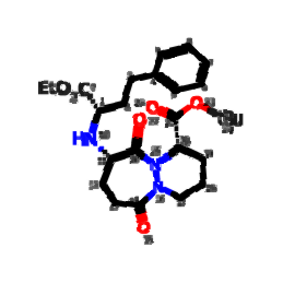 CCOC(=O)[C@H](CCc1ccccc1)N[C@H]1CCC(=O)N2CCC[C@@H](C(=O)OC(C)(C)C)N2C1=O